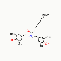 CCCCCCCCCCCCCCCCCC(=O)N(CCc1cc(C(C)(C)C)c(O)c(C(C)(C)C)c1)CCc1cc(C(C)(C)C)c(O)c(C(C)(C)C)c1